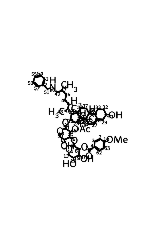 COc1ccc(C(=O)O[C@@H]2C(O)[C@H](O)CO[C@H]2OC2[C@@H](OC(C)=O)[C@H](O[C@H]3C[C@H]4[C@@H]5CC=C6C[C@@H](O)CC[C@]6(C)[C@H]5CC[C@]4(C)[C@H]3[C@H](C)CCC[C@@H](C)CNCc3ccccc3)OC[C@@H]2O)cc1